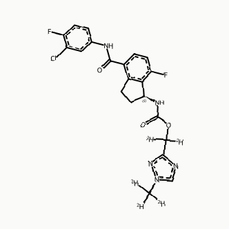 [2H]C([2H])(OC(=O)N[C@H]1CCc2c(C(=O)Nc3ccc(F)c(Cl)c3)ccc(F)c21)c1ncn(C([2H])([2H])[2H])n1